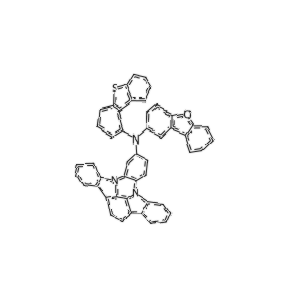 c1ccc2c(c1)oc1ccc(N(c3ccc4c(c3)n3c5ccccc5c5ccc6c7ccccc7n4c6c53)c3cccc4sc5ccccc5c34)cc12